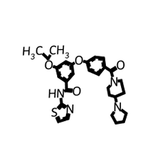 CC(C)Oc1cc(Oc2ccc(C(=O)N3CCC(N4CCCC4)CC3)cc2)cc(C(=O)Nc2nccs2)c1